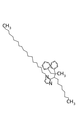 CCCCCCCCCCCCCCCCCCCn1ccnc1C(CCCCCCCC)C(C)(Cc1ccccc1)c1ccccc1